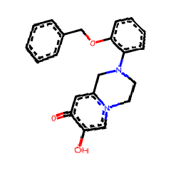 O=c1cc2n(cc1O)CCN(c1ccccc1OCc1ccccc1)C2